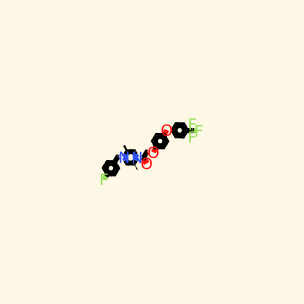 C[C@@H]1CN(Cc2ccc(F)cc2)[C@@H](C)CN1C(=O)COc1ccc(Oc2ccc(C(F)(F)F)cc2)cc1